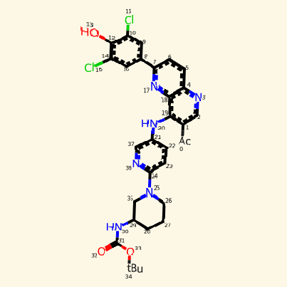 CC(=O)c1cnc2ccc(-c3cc(Cl)c(O)c(Cl)c3)nc2c1Nc1ccc(N2CCCC(NC(=O)OC(C)(C)C)C2)nc1